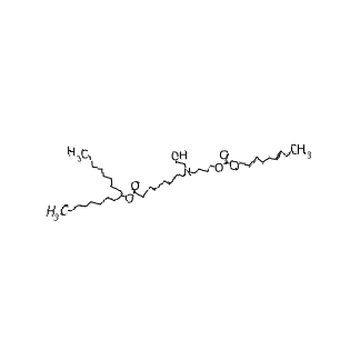 CCC=CCCCCCOC(=O)OCCCCN(CCO)CCCCCCCC(=O)OC(CCCCCCCC)CCCCCCCC